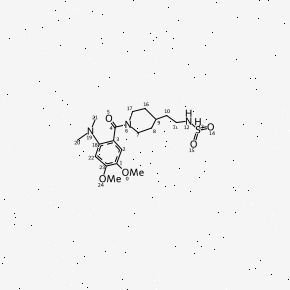 COc1cc(C(=O)N2CCC(CCN[SH](=O)=O)CC2)c(N(C)C)cc1OC